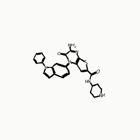 Nc1nc2sc(C(=O)NC3CCNCC3)cc2n(-c2ccc3ccn(-c4ccccc4)c3c2)c1=O